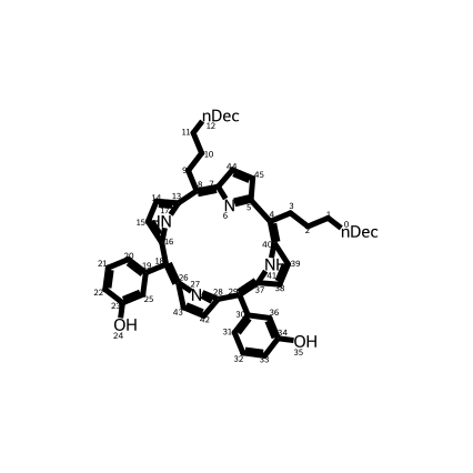 CCCCCCCCCCCCCc1c2nc(c(CCCCCCCCCCCCC)c3ccc([nH]3)c(-c3cccc(O)c3)c3nc(c(-c4cccc(O)c4)c4ccc1[nH]4)C=C3)C=C2